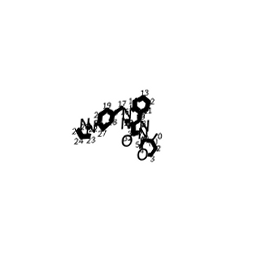 C[C@H]1CCOC[C@H]1n1nc2c3ccccc3n(Cc3ccc(-n4cccn4)cc3)nc-2c1=O